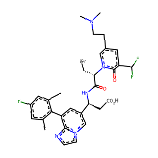 Cc1cc(F)cc(C)c1-c1cc([C@H](CC(=O)O)NC(=O)[C@H](CC(C)C)n2cc(CCN(C)C)cc(C(F)F)c2=O)cn2ccnc12